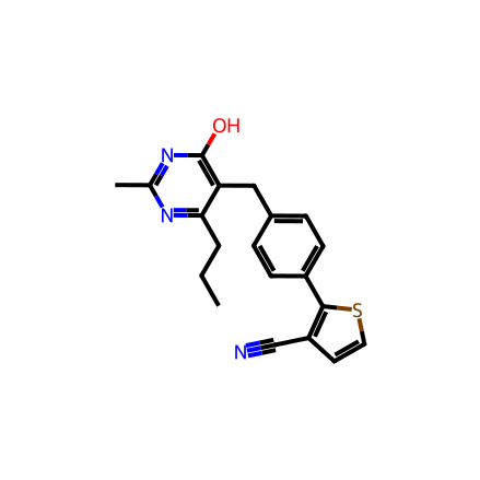 CCCc1nc(C)nc(O)c1Cc1ccc(-c2sccc2C#N)cc1